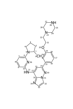 CC1CCCN1c1cccc(Nc2cc(-c3cccc(OCCN4CCNCC4)c3)nn3ccnc23)n1